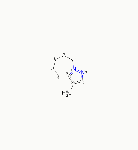 Cc1cnn2c1CCCCC2